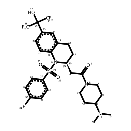 CN(C)C1CCN(C(=O)C[C@@H]2CCc3cc(C(O)(C(F)(F)F)C(F)(F)F)ccc3N2S(=O)(=O)c2ccc(F)cc2)CC1